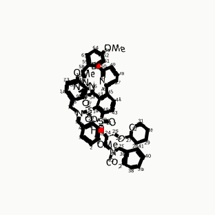 COc1ccc(CN(Cc2ccc(OC)cc2)S(=O)(=O)c2c(S(=O)(=O)N[C@H](COC3CCCCO3)CN(Cc3ccccc3)C(=O)O)ccc(-c3cccc(Br)n3)c2-c2nnn(Cc3ccc(OC)cc3)n2)cc1